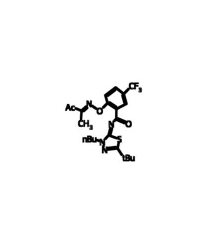 CCCCn1nc(C(C)(C)C)sc1=NC(=O)c1cc(C(F)(F)F)ccc1ON=C(C)C(C)=O